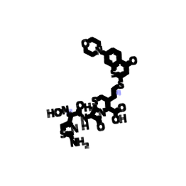 Nc1nc(/C(=N\O)C(=O)NC2C(=O)N3C(C(=O)O)=C(/C=C/Sc4cc(=O)c5ccc(N6CCOCC6)cc5s4)CS[C@H]23)cs1